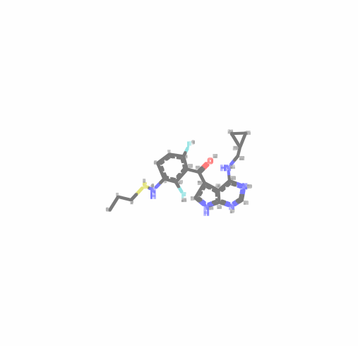 CCCSNc1ccc(F)c(C(=O)c2c[nH]c3ncnc(NCC4CC4)c23)c1F